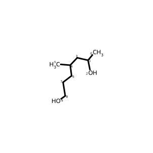 CC(O)CC(C)CCCO